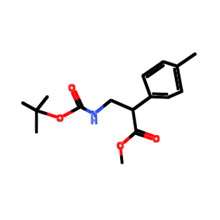 COC(=O)C(CNC(=O)OC(C)(C)C)c1ccc(C)cc1